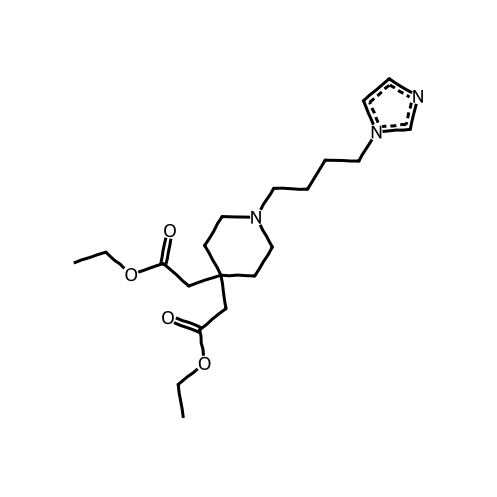 CCOC(=O)CC1(CC(=O)OCC)CCN(CCCCn2ccnc2)CC1